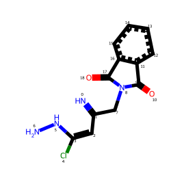 N=C(/C=C(/Cl)NN)CN1C(=O)c2ccccc2C1=O